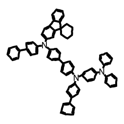 c1ccc(-c2ccc(N(c3ccc(-c4ccc(N(c5ccc(-c6ccccc6)cc5)c5ccc6c(c5)C5(CCCCC5)c5ccccc5-6)cc4)cc3)c3ccc(N(c4ccccc4)c4ccccc4)cc3)cc2)cc1